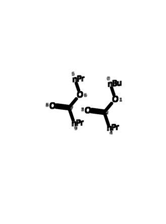 CCCCOC(=O)CCC.CCCOC(=O)CCC